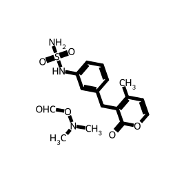 CN(C)OC=O.Cc1ccoc(=O)c1Cc1cccc(NS(N)(=O)=O)c1